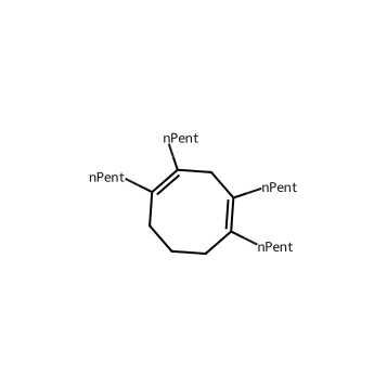 CCCCC/C1=C(\CCCCC)C/C(CCCCC)=C(/CCCCC)CCC1